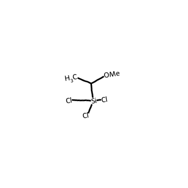 COC(C)[Si](Cl)(Cl)Cl